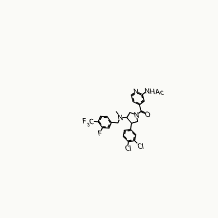 CC(=O)Nc1cc(C(=O)N2CC(c3ccc(Cl)c(Cl)c3)C(N(C)Cc3ccc(C(F)(F)F)c(F)c3)C2)ccn1